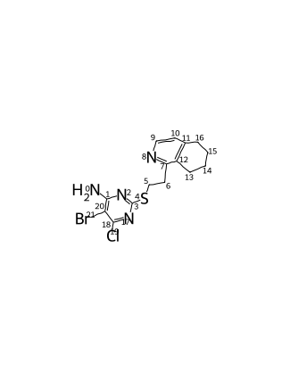 Nc1nc(SCCc2nccc3c2CCCC3)nc(Cl)c1Br